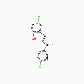 O=C(/C=C/c1cc(Cl)ccc1O)c1ccc(Cl)cc1